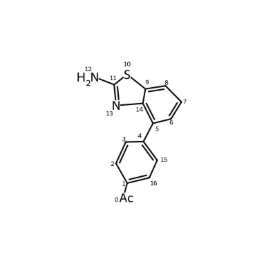 CC(=O)c1ccc(-c2cccc3sc(N)nc23)cc1